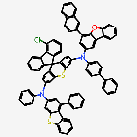 Clc1cccc2c1-c1ccccc1C21c2ccc(N(c3ccccc3)c3cc(-c4ccccc4)c4c(c3)sc3ccccc34)cc2Sc2cc(N(c3ccc(-c4ccccc4)cc3)c3cc(-c4ccc5ccccc5c4)c4oc5ccccc5c4c3)ccc21